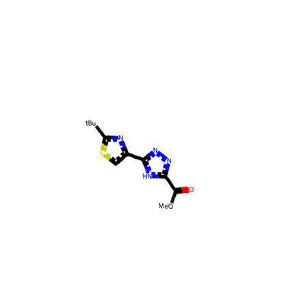 COC(=O)c1nnc(-c2csc(C(C)(C)C)n2)[nH]1